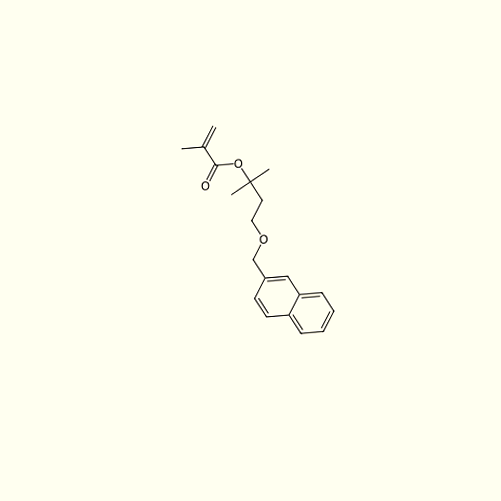 C=C(C)C(=O)OC(C)(C)CCOCc1ccc2ccccc2c1